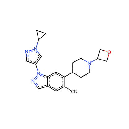 N#Cc1cc2cnn(-c3cnn(C4CC4)c3)c2cc1C1CCN(C2COC2)CC1